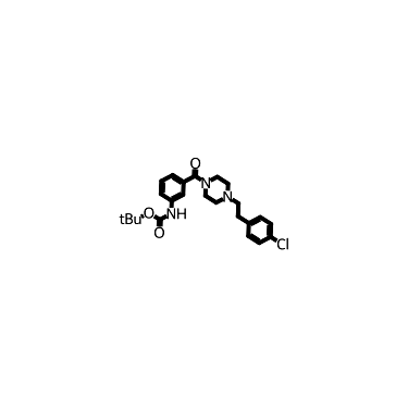 CC(C)(C)OC(=O)Nc1cccc(C(=O)N2CCN(CCc3ccc(Cl)cc3)CC2)c1